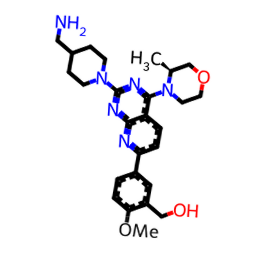 COc1ccc(-c2ccc3c(N4CCOC[C@@H]4C)nc(N4CCC(CN)CC4)nc3n2)cc1CO